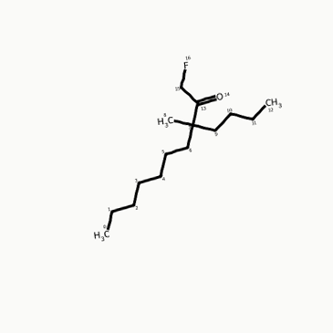 CCCCCCCC(C)(CCCC)C(=O)CF